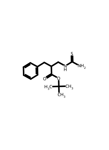 CC(C)(C)OC(=O)C(CNC(N)=S)Cc1ccccc1